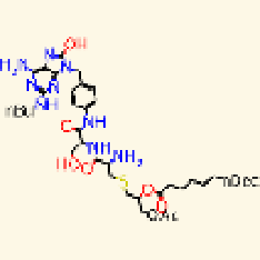 CCCCCCCCCCCCCCCC(=O)OC(COC(C)=O)CSC[C@H](N)C(=O)N[C@@H](CO)C(=O)Nc1ccc(Cn2c(O)nc3c(N)nc(NCCCC)nc32)cc1